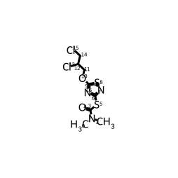 CN(C)C(=O)Sc1nsc(OCC(Cl)CCl)n1